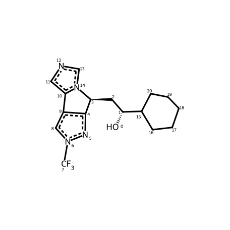 O[C@H](C[C@H]1c2nn(C(F)(F)F)cc2-c2cncn21)C1CCCCC1